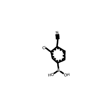 N#Cc1ccc(B(O)O)cc1Cl